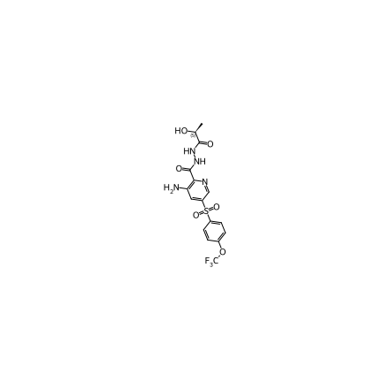 C[C@H](O)C(=O)NNC(=O)c1ncc(S(=O)(=O)c2ccc(OC(F)(F)F)cc2)cc1N